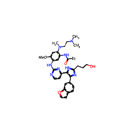 CCC(=O)Nc1cc(Nc2nccc(-c3[nH]c(CCCO)nc3-c3ccc4ccoc4c3)n2)c(OC)cc1N(C)CCN(C)C